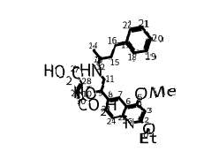 CCOc1cc(OC)c2cc(C(O)CNC(C)CCc3ccccc3)ccc2n1.O=C(O)C=CC(=O)O